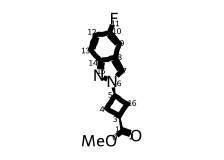 COC(=O)[C@H]1C[C@@H](n2cc3cc(F)ccc3n2)C1